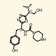 CN(C)[C@@H](CO)c1nnc([C@H](Cc2ccc(O)cc2)NC(=O)N2CCNCC2)o1